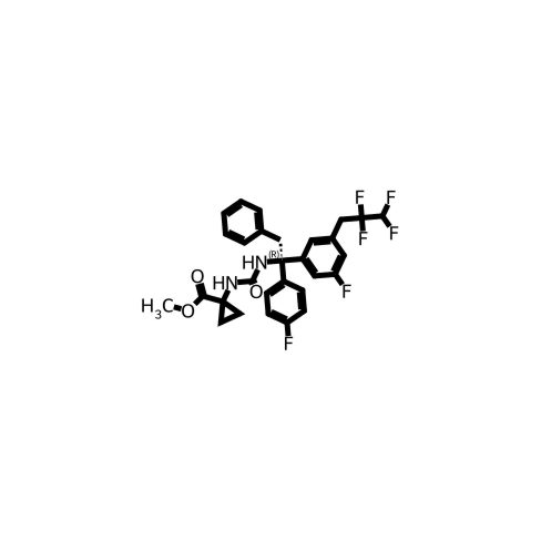 COC(=O)C1(NC(=O)N[C@](Cc2ccccc2)(c2ccc(F)cc2)c2cc(F)cc(CC(F)(F)C(F)F)c2)CC1